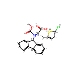 COC(=O)N(C1c2ccccc2-c2ccccc21)[C@@H](Cc1ccc(Cl)s1)C(=O)O